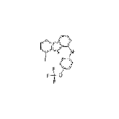 CN(c1ccc(OC(F)(F)F)cc1)c1cccc2c1sc1c(F)cccc12